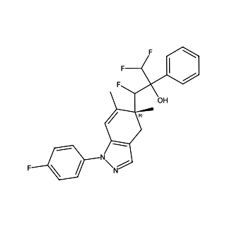 CC1=Cc2c(cnn2-c2ccc(F)cc2)C[C@@]1(C)C(F)C(O)(c1ccccc1)C(F)F